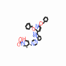 C[C@H]1CN(C(=O)O)CC[C@H]1CN1CCN(c2cccc3c(-c4ccc(OCc5ccccc5)nc4OCc4ccccc4)nn(C)c23)CC1